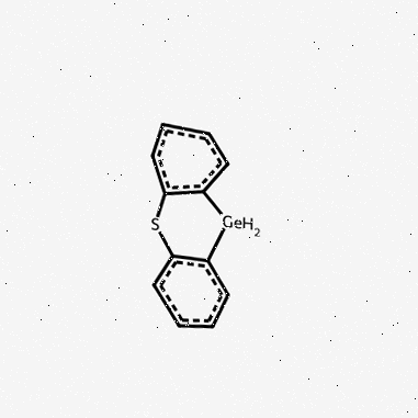 c1cc[c]2c(c1)Sc1cccc[c]1[GeH2]2